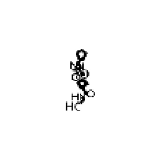 C#CCNC(=O)c1ccc(S(=O)(=O)n2cnc(C3CCCCC3)n2)cc1